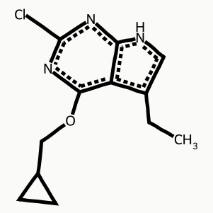 CCc1c[nH]c2nc(Cl)nc(OCC3CC3)c12